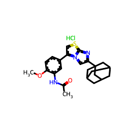 COc1ccc(-c2csc3nc(C45CC6CC(CC(C6)C4)C5)cn23)cc1NC(C)=O.Cl